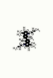 CCNC(=O)O/C=C1\C(=O)C(O)=C(C(C)C)c2cc(C)c(-c3c(C)cc4c(c3O)/C(=C/OC(=O)NCC)C(=O)C(O)=C4C(C)C)c(O)c21